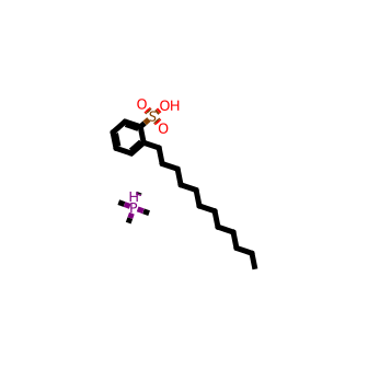 CCCCCCCCCCCCc1ccccc1S(=O)(=O)O.C[PH](C)(C)C